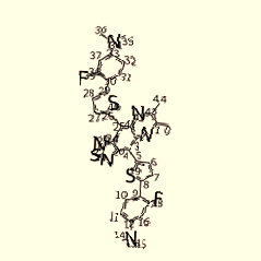 Cc1nc2c(-c3ccc(-c4ccc(N(C)C)cc4F)s3)c3nsnc3c(-c3ccc(-c4ccc(N(C)C)cc4F)s3)c2nc1C